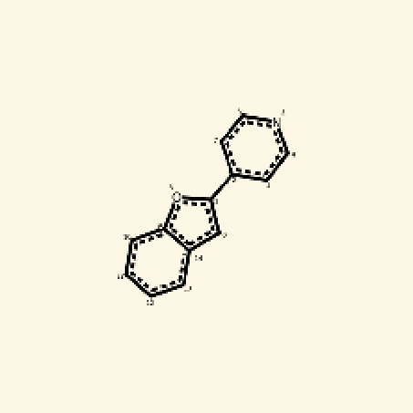 [c]1c(-c2ccncc2)oc2ccccc12